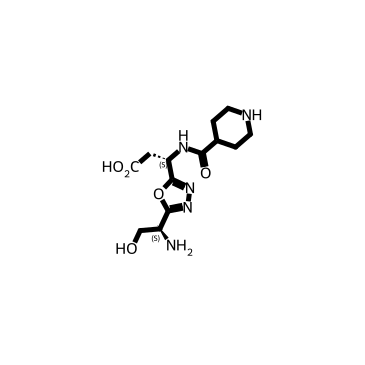 N[C@@H](CO)c1nnc([C@H](CC(=O)O)NC(=O)C2CCNCC2)o1